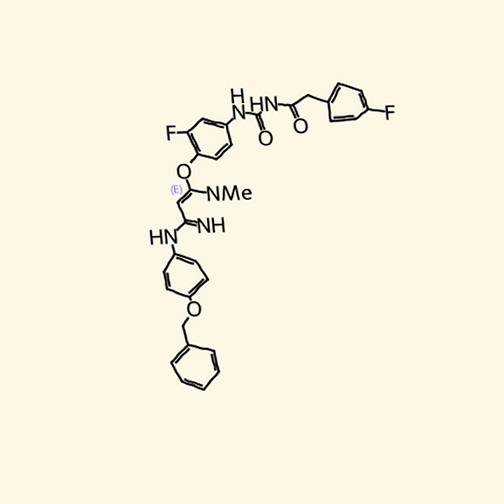 CN/C(=C\C(=N)Nc1ccc(OCc2ccccc2)cc1)Oc1ccc(NC(=O)NC(=O)Cc2ccc(F)cc2)cc1F